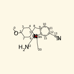 COC1CCC2(CC1)Cc1ccc(C#N)cc1C21N=C(C)C(N)=N1